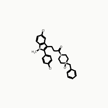 Cn1c(-c2ccc(Cl)cc2)c(CCC(=O)N2CC[N+]([O-])(Cc3ccccc3)CC2)c2cc(Cl)ccc21